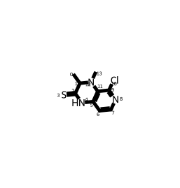 CC1C(=S)Nc2ccnc(Cl)c2N1C